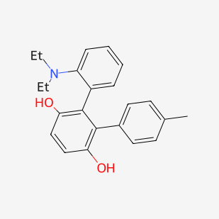 CCN(CC)c1ccccc1-c1c(O)ccc(O)c1-c1ccc(C)cc1